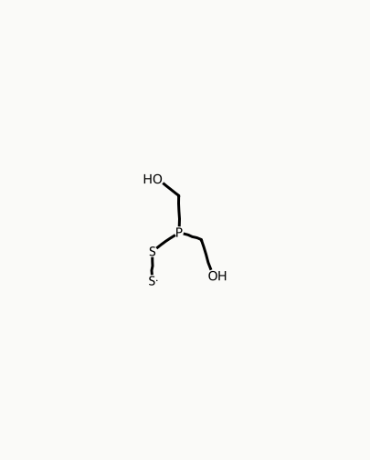 OCP(CO)S[S]